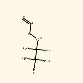 C=CCOC(F)(F)C(F)(F)F